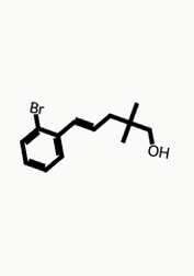 CC(C)(CO)C/C=C/c1ccccc1Br